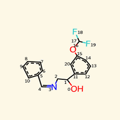 OC(C/N=C\c1ccccc1)c1cccc(OC(F)F)c1